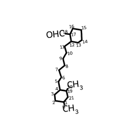 CC1CCC(CCCCCCCC2CCCCC2C=O)C(C)C1